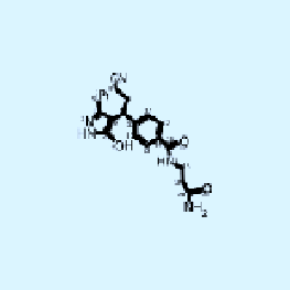 CC(C)c1n[nH]c(O)c1C(CCC#N)c1ccc(C(=O)NCCC(N)=O)cc1